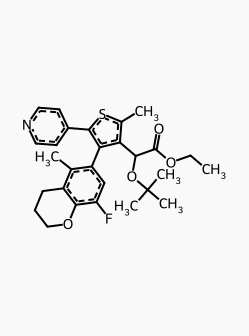 CCOC(=O)C(OC(C)(C)C)c1c(C)sc(-c2ccncc2)c1-c1cc(F)c2c(c1C)CCCO2